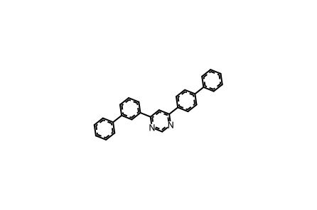 c1ccc(-c2ccc(-c3cc(-c4cccc(-c5ccccc5)c4)ncn3)cc2)cc1